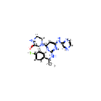 CC(Nc1nc(Nc2cnccn2)cc(N2CCNC(=O)C2)n1)c1ccc(F)cc1